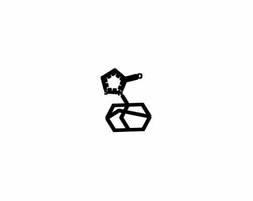 O=c1ccsn1C12CC3CC(CC(C3)C1)C2